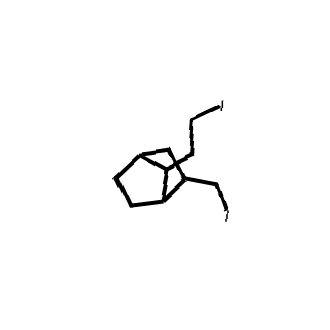 ICCC1C2CCC1C(CI)C2